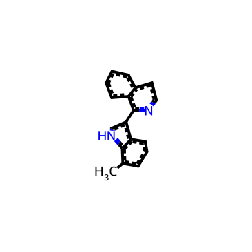 Cc1cccc2c(-c3nccc4ccccc34)c[nH]c12